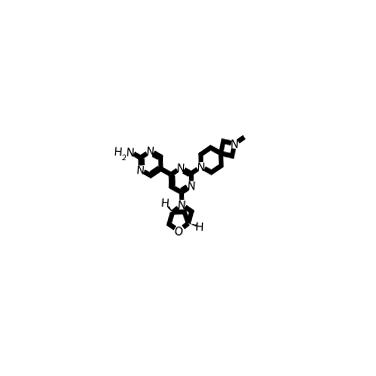 CN1CC2(CCN(c3nc(-c4cnc(N)nc4)cc(N4C[C@@H]5C[C@H]4CO5)n3)CC2)C1